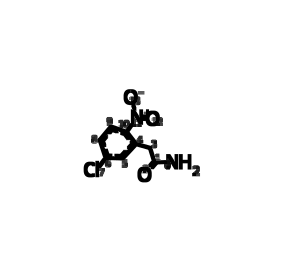 NC(=O)Cc1cc(Cl)ccc1[N+](=O)[O-]